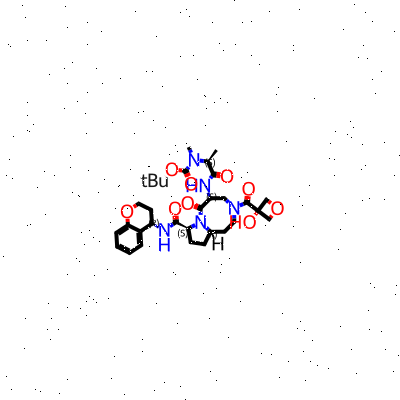 C[C@@H](C(=O)N[C@H]1CN(C(=O)C2(O)COC2)CC[C@H]2CC[C@@H](C(=O)N[C@@H]3CCOc4ccccc43)N2C1=O)N(C)C(=O)OC(C)(C)C